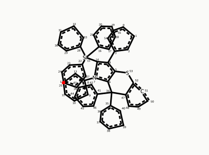 c1ccc(-c2c3c(n(-c4ccccc4)c2[Si](c2ccccc2)(c2ccccc2)c2ccccc2)C(c2ccccc2)(c2ccccc2)c2ccccc2S3)cc1